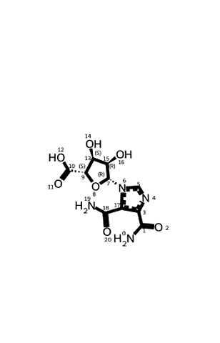 NC(=O)c1ncn([C@@H]2O[C@H](C(=O)O)[C@@H](O)[C@H]2O)c1C(N)=O